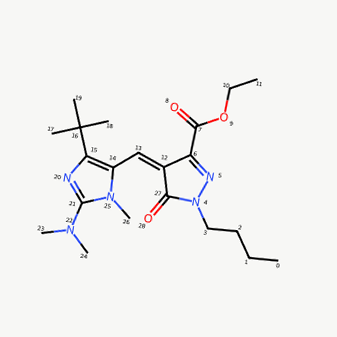 CCCCN1N=C(C(=O)OCC)C(=Cc2c(C(C)(C)C)nc(N(C)C)n2C)C1=O